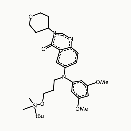 COc1cc(OC)cc(N(CCCO[Si](C)(C)C(C)(C)C)c2ccc3ncn(C4CCOCC4)c(=O)c3c2)c1